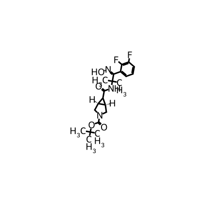 CC(C)(C)OC(=O)N1C[C@@H]2C(C(=O)NC(C)(C)/C(=N\O)c3cccc(F)c3F)[C@@H]2C1